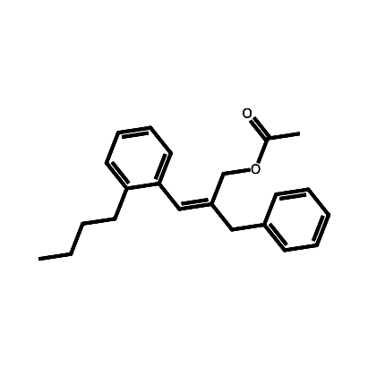 CCCCc1ccccc1/C=C(\COC(C)=O)Cc1ccccc1